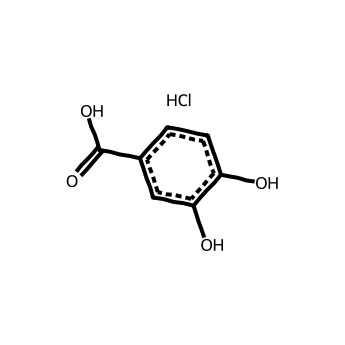 Cl.O=C(O)c1ccc(O)c(O)c1